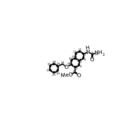 COC(=O)c1cc2cc(NC(N)=O)ccc2cc1OCc1ccccc1